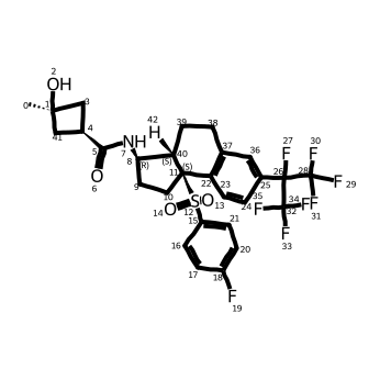 C[C@]1(O)C[C@@H](C(=O)N[C@@H]2CC[C@@]3(S(=O)(=O)c4ccc(F)cc4)c4ccc(C(F)(C(F)(F)F)C(F)(F)F)cc4CC[C@@H]23)C1